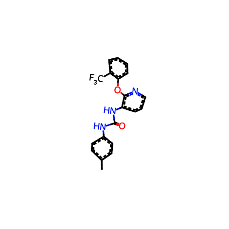 Cc1ccc(NC(=O)Nc2cccnc2Oc2ccccc2C(F)(F)F)cc1